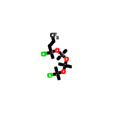 C[Si](C)(Cl)O[Si](C)(C)O[Si](C)(C)O[Si](C)(Cl)CCC(F)(F)F